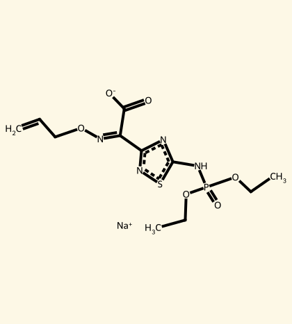 C=CCON=C(C(=O)[O-])c1nsc(NP(=O)(OCC)OCC)n1.[Na+]